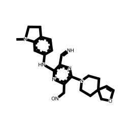 CN1CCc2ccc(Nc3nc(CN=O)c(N4CCC5(C=COC5)CC4)nc3C=N)cc21